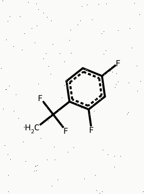 [CH2]C(F)(F)c1ccc(F)cc1F